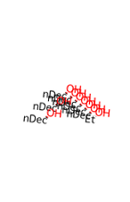 CCCCCCCCCCO.CCCCCCCCCCO.CCCCCCCCCCO.CCCCCCCCCCO.CCCCCCCCCCO.CCCCCCCCCCO.CCCCCCCCCCO.CCCCCCCCCCO.CCO